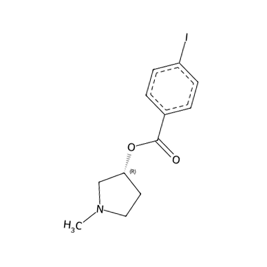 CN1CC[C@@H](OC(=O)c2ccc(I)cc2)C1